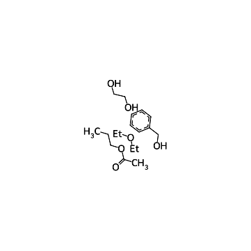 CCCOC(C)=O.CCOCC.OCCO.OCc1ccccc1